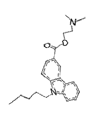 CCCCCn1c2ccccc2c2cc(C(=O)OCCN(C)C)ccc21